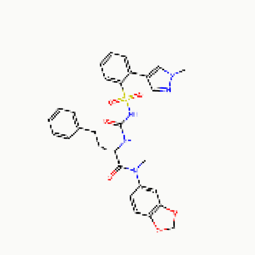 CN(C(=O)[C@H](CCc1ccccc1)NC(=O)NS(=O)(=O)c1ccccc1-c1cnn(C)c1)c1ccc2c(c1)OCO2